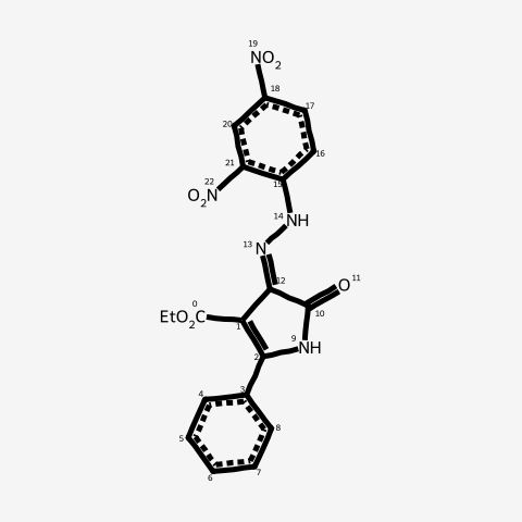 CCOC(=O)C1=C(c2ccccc2)NC(=O)/C1=N\Nc1ccc([N+](=O)[O-])cc1[N+](=O)[O-]